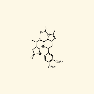 COc1ccc(C2CC3N=C(C)N(C(F)F)C3C(O[C@H](C)[C@H]3CNC(=O)C3)N2)cc1OC